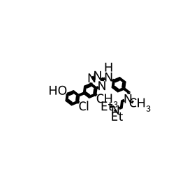 CCN(CC)CCN(C)Cc1ccc(Nc2nnc3cc(-c4cc(O)ccc4Cl)cc(C)c3n2)cc1